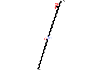 CCCCCCCCCCCCCCCCCC(=O)NCCCCCCCCCCCCCCCCC(CCCC)C(=O)O